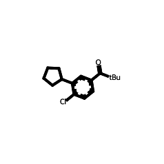 CC(C)(C)C(=O)c1ccc(Cl)c(C2CCCC2)c1